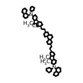 CC1(C)c2cc(/C=C/c3ccc4c(ccc5cc(/C=C/c6ccc7c(c6)C(C)(C)c6cc(N(c8ccccc8)c8cccc9ccccc89)ccc6-7)ccc54)c3)ccc2-c2ccc(N(c3ccccc3)c3cccc4ccccc34)cc21